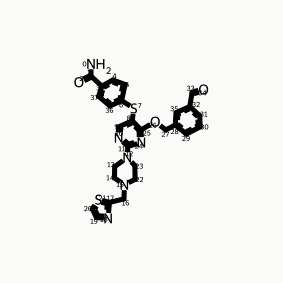 NC(=O)c1ccc(Sc2cnc(N3CCN(Cc4nccs4)CC3)nc2OCc2cccc(C=O)c2)cc1